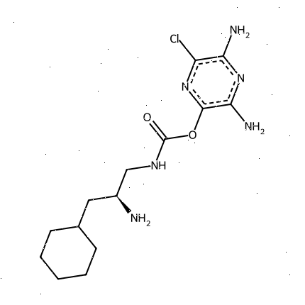 Nc1nc(N)c(OC(=O)NC[C@@H](N)CC2CCCCC2)nc1Cl